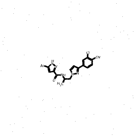 CC(=O)c1cc(C(=O)NC(C)Cn2ccc(-c3ccc(C#N)c(Cl)c3)n2)n[nH]1